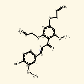 C=CCOc1cc(OC)c(C(=O)/C=C/c2ccc(O)c(OC)c2)c(OCC=C)c1